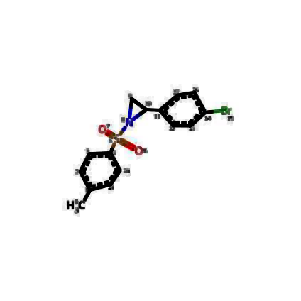 Cc1ccc(S(=O)(=O)N2CC2c2ccc(Br)cc2)cc1